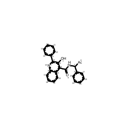 CC(=O)C(NC(=O)c1c(O)c(-c2ccccc2)nc2ccccc12)c1ccccc1